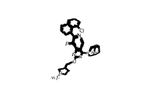 CN1CCC(COc2nc(N3CC4CCC(C3)N4)c3cnc(-c4cccc5cccc(Cl)c45)c(F)c3n2)C1